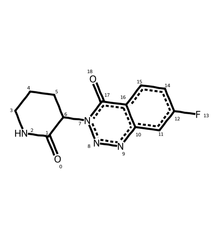 O=C1NCCCC1n1nnc2cc(F)ccc2c1=O